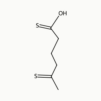 CC(=S)CCCC(O)=S